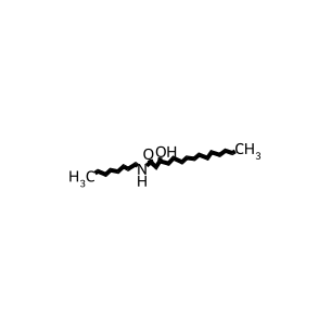 CCCCCCCCCCCCC(O)CC(=O)NCCCCCCCC